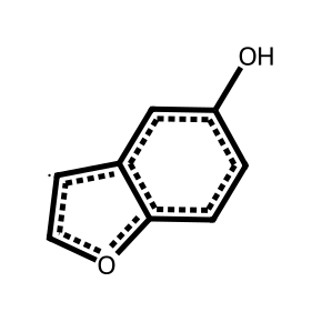 Oc1ccc2oc[c]c2c1